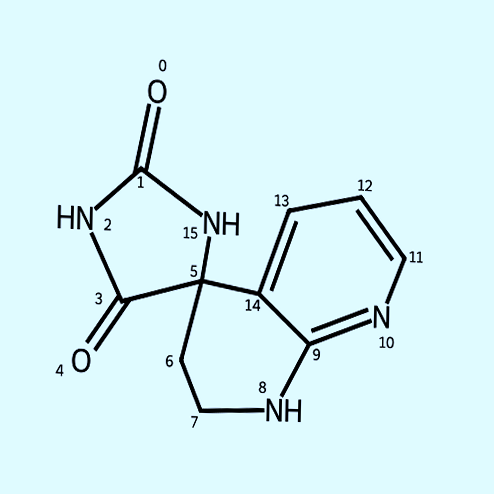 O=C1NC(=O)C2(CCNc3ncccc32)N1